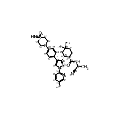 CC(C#N)NC(=O)[C@@H]1CCC(F)(F)C[C@H]1c1nn(-c2ccc(F)cn2)cc1-c1ccc(N2CCS(=N)(=O)CC2)cc1